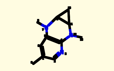 Cc1cnc2c(c1)N(C)C1CC1N2C